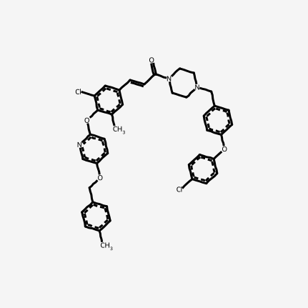 Cc1ccc(COc2ccc(Oc3c(C)cc(C=CC(=O)N4CCN(Cc5ccc(Oc6ccc(Cl)cc6)cc5)CC4)cc3Cl)nc2)cc1